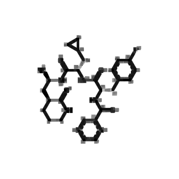 N#C[C@H](C[C@@H]1CCCNC1=O)NC(=O)[C@H](CC1CC1)NC(=O)[C@H](Cc1ccc(F)cc1)NC(=O)c1cnccn1